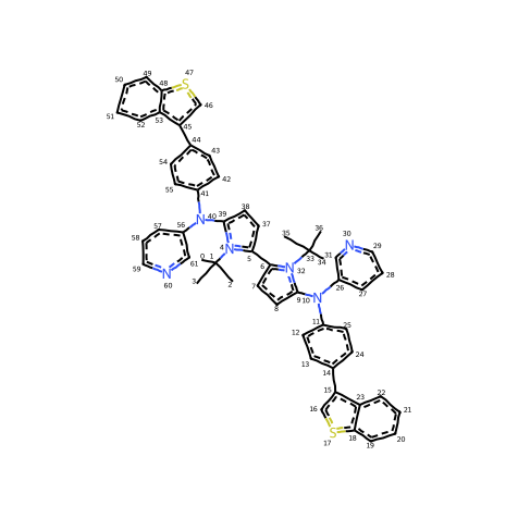 CC(C)(C)n1c(-c2ccc(N(c3ccc(-c4csc5ccccc45)cc3)c3cccnc3)n2C(C)(C)C)ccc1N(c1ccc(-c2csc3ccccc23)cc1)c1cccnc1